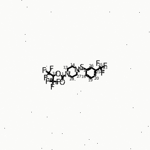 O=C(OC(C(F)(F)F)C(F)(F)F)N1CCN(Sc2cccc(C(F)(F)F)c2)CC1